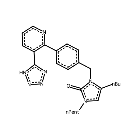 CCCCCn1cc(CCCC)n(Cc2ccc(-c3ncccc3-c3nnn[nH]3)cc2)c1=O